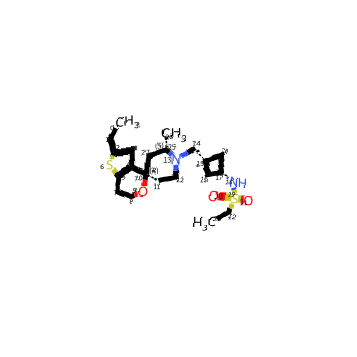 CCc1cc2c(s1)CCO[C@@]21CCN(C[C@H]2C[C@@H](NS(=O)(=O)CC)C2)[C@@H](C)C1